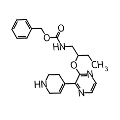 CCC(CNC(=O)OCc1ccccc1)Oc1nccnc1C1=CCNCC1